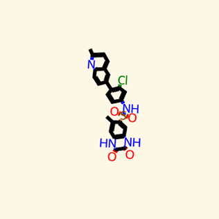 Cc1ccc2cc(-c3ccc(NS(=O)(=O)c4cc5[nH]c(=O)c(=O)[nH]c5cc4C)cc3Cl)ccc2n1